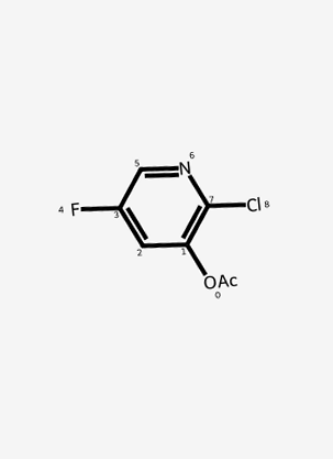 CC(=O)Oc1cc(F)cnc1Cl